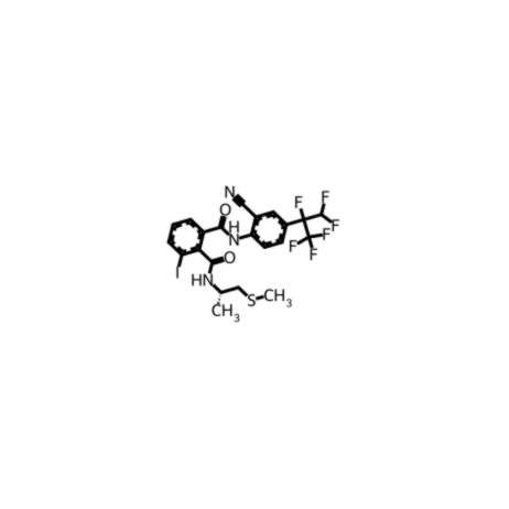 CSC[C@H](C)NC(=O)c1c(I)cccc1C(=O)Nc1ccc(C(F)(C(F)F)C(F)(F)F)cc1C#N